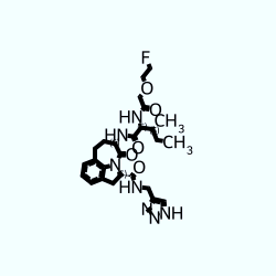 CC[C@H](C)[C@H](NC(=O)COCCF)C(=O)N[C@H]1CCc2cccc3c2N(C1=O)[C@H](C(=O)NCc1c[nH]nn1)C3